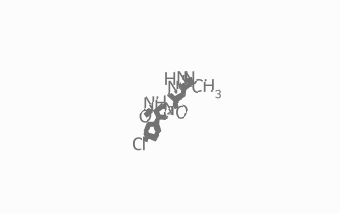 Cc1n[nH]c2ncc(C(=O)N3CC(c4ccc(Cl)cc4)[C@@H](C(N)=O)C3)cc12